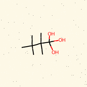 CC(C)(C)C(C)(C)C(O)(O)O